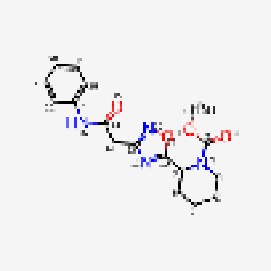 CC(C)(C)OC(=O)N1CCCCC1c1nc(CC(=O)Nc2ccccc2)no1